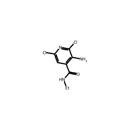 CCNC(=O)c1cc(Cl)nc(Cl)c1N